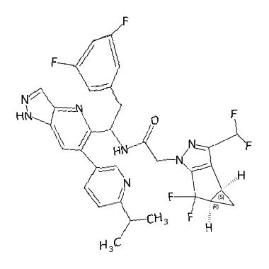 CC(C)c1ccc(-c2cc3[nH]ncc3nc2C(Cc2cc(F)cc(F)c2)NC(=O)Cn2nc(C(F)F)c3c2C(F)(F)[C@@H]2C[C@H]32)cn1